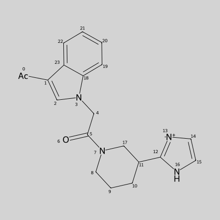 CC(=O)c1cn(CC(=O)N2CCCC(C3=[N+]C=CN3)C2)c2ccccc12